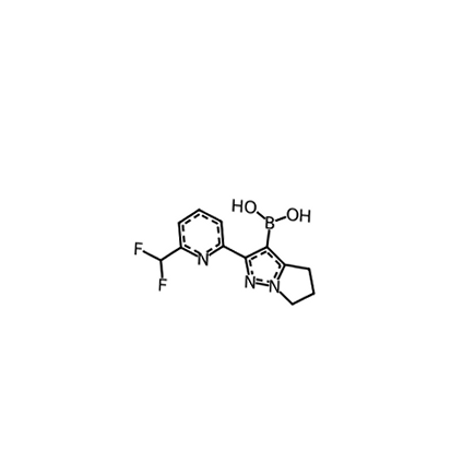 OB(O)c1c(-c2cccc(C(F)F)n2)nn2c1CCC2